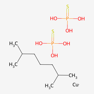 CC(C)CCCC(C)C.OP(O)(O)=S.OP(O)(O)=S.[Cu]